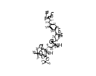 CC(C)(C)OC(=O)N[C@@H](CCS(=N)(=O)CCC(c1ccc(CCC(F)(F)F)cc1)C(F)(F)F)C(=O)OC(C)(C)C